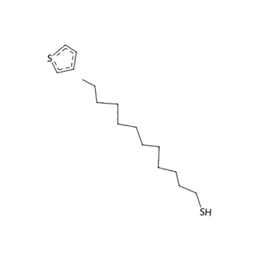 CCCCCCCCCCCCS.c1ccsc1